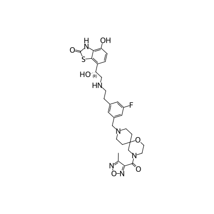 Cc1nonc1C(=O)N1CCOC2(CCN(Cc3cc(F)cc(CCNC[C@H](O)c4ccc(O)c5[nH]c(=O)sc45)c3)CC2)C1